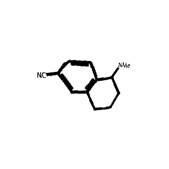 CNC1CCCc2cc(C#N)ccc21